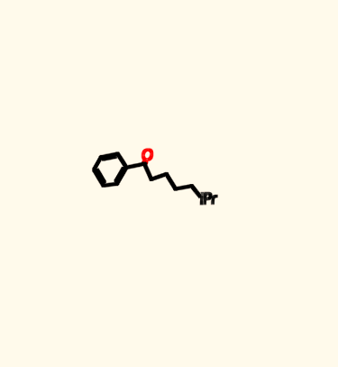 CC(C)CCCCC(=O)c1ccccc1